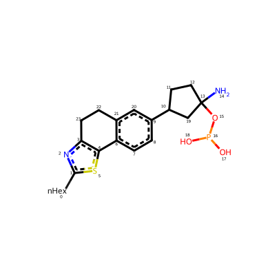 CCCCCCc1nc2c(s1)-c1ccc(C3CCC(N)(OP(O)O)C3)cc1CC2